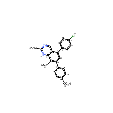 CNc1ncc2c(-c3ccc(Cl)cc3)cc(-c3ccc(C(=O)O)cc3)c(OC)c2n1